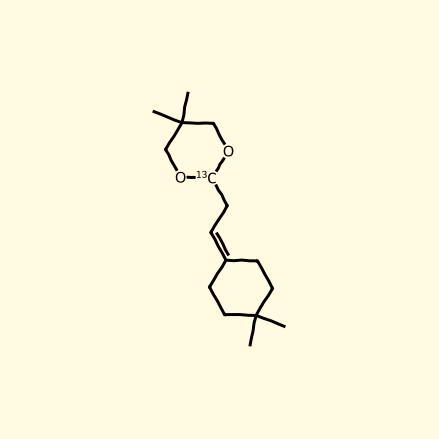 CC1(C)CCC(=CC[13CH]2OCC(C)(C)CO2)CC1